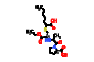 CCCCCC(SC[C@H](NC(C)C(=O)N1CCC[C@H]1C(=O)O)C(=O)OCC)C(=O)O